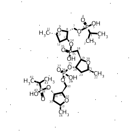 CC(C)P(=O)(O)OC[C@H]1O[C@@H](C)C[C@@H]1OP(=O)(O)C[C@H]1O[C@@H](C)C[C@@H]1OP(=O)(O)OC[C@H]1O[C@@H](C)C[C@@H]1OP(=O)(O)C(C)C